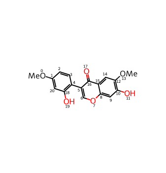 COc1ccc(-c2coc3cc(O)c(OC)cc3c2=O)c(O)c1